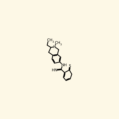 CCC1Cc2ccc(NC(=N)C3=CC=CCC3=S)cc2CN1C